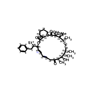 CC[C@H](Cc1ccccc1)[C@@H]1/C=C/C=C/CC(=O)[C@@H](C)[C@H](O)[C@@H](C)[C@@H](C)CC[C@@H](C)C(=O)C(O)(OC)C(=O)N2CCCC[C@H]2C(=O)O1